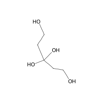 OCCC(O)(O)CCO